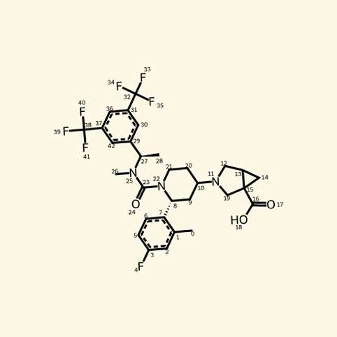 Cc1cc(F)ccc1[C@H]1CC(N2CC3CC3(C(=O)O)C2)CCN1C(=O)N(C)[C@H](C)c1cc(C(F)(F)F)cc(C(F)(F)F)c1